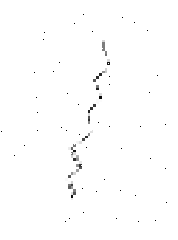 C=CC=CCCCCCI